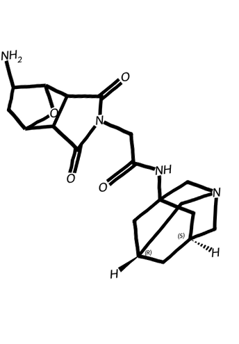 NC1CC2OC1C1C(=O)N(CC(=O)NC34C[C@@H]5C[C@@H](CN(C5)C3)C4)C(=O)C21